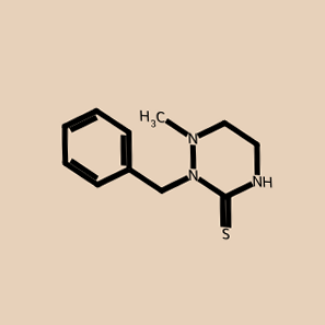 CN1CCNC(=S)N1Cc1ccccc1